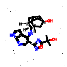 CC(C)(O)c1nc(-c2cnc3[nH]ccc3c2N[C@H]2[C@@H]3CC4C[C@H]2C[C@@](O)(C4)C3)no1